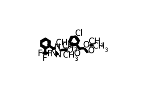 Cn1c(-c2ccccc2C(F)(F)F)nnc1C(C)(C)Oc1ccc(Cl)cc1C(=O)C1COC(C)(C)O1